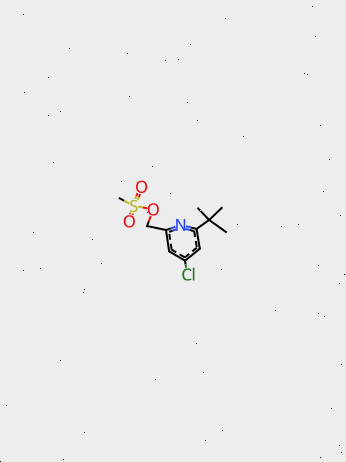 CC(C)(C)c1cc(Cl)cc(COS(C)(=O)=O)n1